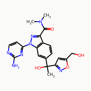 CN(C)C(=O)c1nn(-c2ccnc(N)n2)c2cc(C(C)(O)c3cc(CO)on3)ccc12